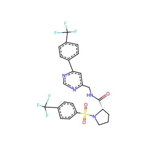 O=C(NCc1cc(-c2ccc(C(F)(F)F)cc2)ncn1)[C@@H]1CCCN1S(=O)(=O)c1ccc(C(F)(F)F)cc1